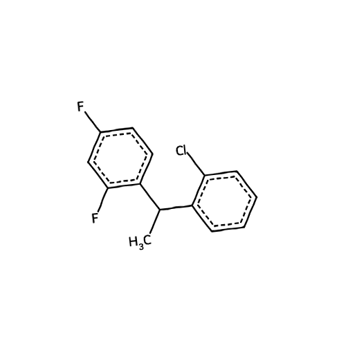 CC(c1ccc(F)cc1F)c1ccccc1Cl